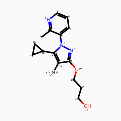 Cc1ncccc1-n1nc(OCCCO)c([N+](=O)[O-])c1C1CC1